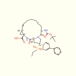 CCCS(=O)(=O)[C@@]1(C2C=CC(c3ccccc3)=CC2)C[C@H]2C(=O)N[C@]3(C(=O)O)C[C@H]3/C=C\CCCCC[C@H](NC(=O)OC(C)(C)C)C(=O)N2C1